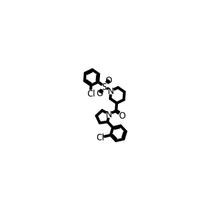 O=C(C1CCCN(S(=O)(=O)c2ccccc2Cl)C1)N1CCCC1c1ccccc1Cl